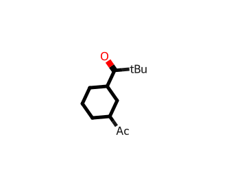 CC(=O)C1CCCC(C(=O)C(C)(C)C)C1